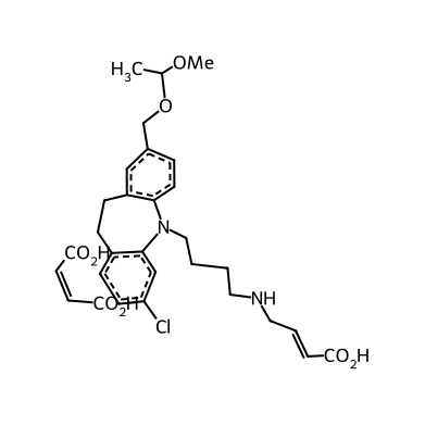 COC(C)OCc1ccc2c(c1)CCc1ccc(Cl)cc1N2CCCCNC/C=C/C(=O)O.O=C(O)/C=C\C(=O)O